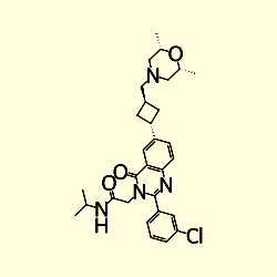 CC(C)NC(=O)Cn1c(-c2cccc(Cl)c2)nc2ccc([C@H]3C[C@H](CN4C[C@@H](C)O[C@@H](C)C4)C3)cc2c1=O